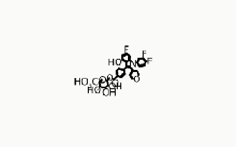 O=C(OC1O[C@H](C(=O)O)[C@@H](O)[C@H](O)[C@H]1O)c1ccc(-c2c(C3CCOCC3)n(-c3ccc(F)c(F)c3)c3cc(F)cc(O)c23)cc1